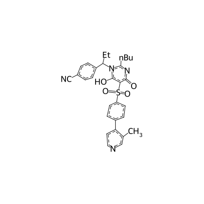 CCCCc1nc(=O)c(S(=O)(=O)c2ccc(-c3ccncc3C)cc2)c(O)n1C(CC)c1ccc(C#N)cc1